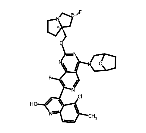 Cc1ccc2nc(O)cc(-c3ncc4c(N5CC6CCC(C5)O6)nc(OC[C@@]56CCCN5C[C@H](F)C6)nc4c3F)c2c1Cl